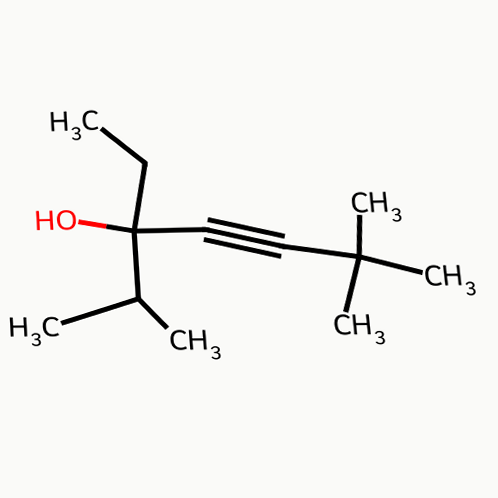 CCC(O)(C#CC(C)(C)C)C(C)C